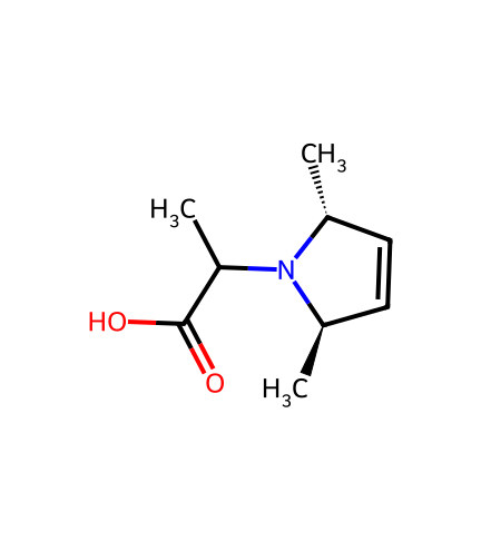 CC(C(=O)O)N1[C@H](C)C=C[C@H]1C